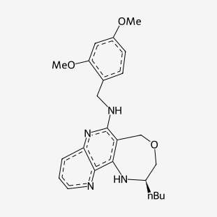 CCCC[C@@H]1COCc2c(NCc3ccc(OC)cc3OC)nc3cccnc3c2N1